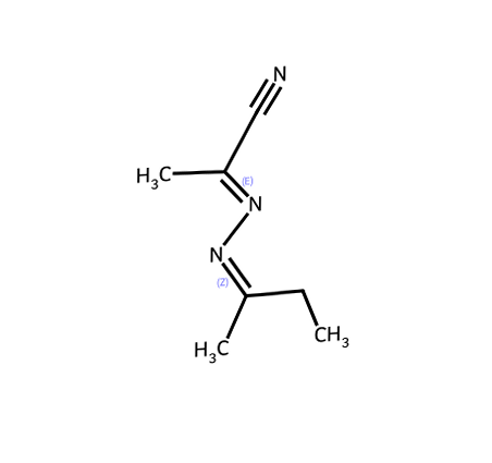 CC/C(C)=N\N=C(/C)C#N